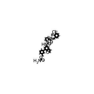 NC(=O)OCc1cccc(-c2cc(NC(=O)N3CCCC3C(=O)NCc3cccc(Cl)c3F)cc3ccoc23)c1